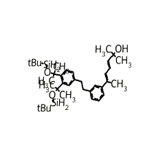 CC(=CC=CC(C)(C)O)c1cccc(CCc2ccc(C(C)(C)O[SiH2]C(C)(C)C)c(C(C)(C)O[SiH2]C(C)(C)C)c2)c1